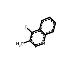 Cc1[c]nc2ccccc2c1F